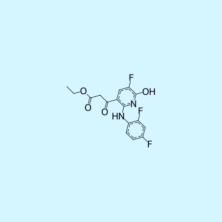 CCOC(=O)CC(=O)c1cc(F)c(O)nc1Nc1ccc(F)cc1F